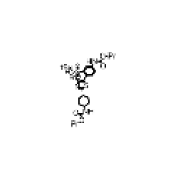 CC(C)OC(=O)Nc1ccc(-c2sc([C@H]3CC[C@H](NC(=O)OC(C)C)CC3)nc2Br)c(S(=O)(=O)NC(C)(C)C)c1